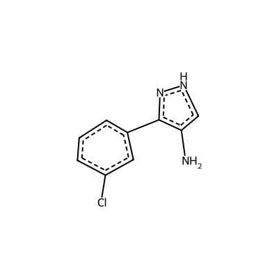 Nc1c[nH]nc1-c1cccc(Cl)c1